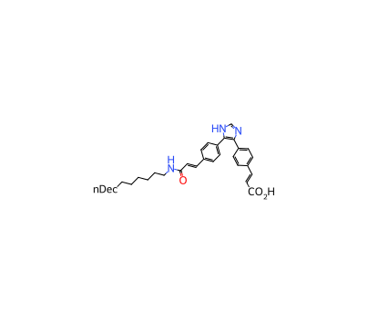 CCCCCCCCCCCCCCCCNC(=O)C=Cc1ccc(-c2[nH]cnc2-c2ccc(C=CC(=O)O)cc2)cc1